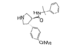 COc1ccc([C@@H]2CNC[C@H]2C(=O)NC(C)(C)c2ccccc2)cc1